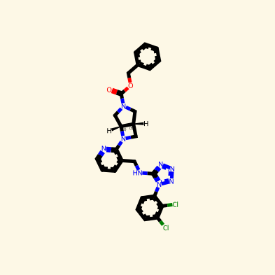 O=C(OCc1ccccc1)N1C[C@@H]2CN(c3ncccc3CNc3nnnn3-c3cccc(Cl)c3Cl)[C@@H]2C1